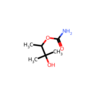 CC(OC(N)=O)C(C)(C)O